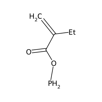 C=C(CC)C(=O)OP